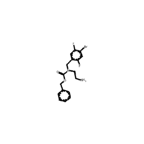 NCCN(Cc1cc(F)c(Br)cc1F)C(=O)OCc1ccccc1